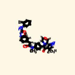 CCc1ccccc1Nc1nc2ccc(CC(=O)N(C)c3ccc(C(C(=O)C4CNCC4C(=O)O)N4CCOCC4)cc3)cc2o1